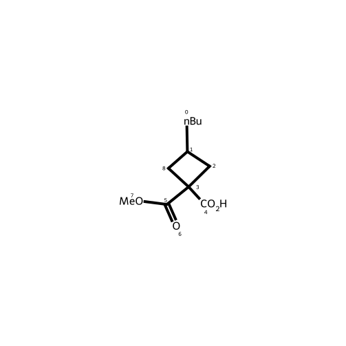 CCCCC1CC(C(=O)O)(C(=O)OC)C1